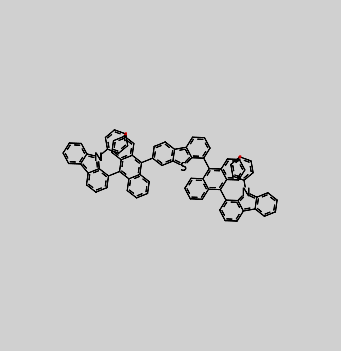 c1ccc(-n2c3ccccc3c3cccc(-c4c5ccccc5c(-c5ccc6c(c5)sc5c(-c7c8ccccc8c(-c8cccc9c%10ccccc%10n(-c%10ccccc%10)c89)c8ccccc78)cccc56)c5ccccc45)c32)cc1